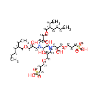 CCCCC(CC)COCC(O)CN(CCN(CC(O)COCCCS(=O)(=O)O)CC(O)COCCCS(=O)(=O)O)CC(O)COCC(CC)CCCC